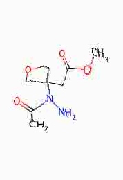 COC(=O)CC1(N(N)C(C)=O)COC1